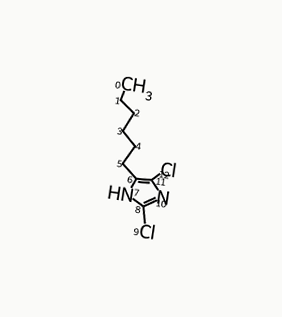 CCCCCCc1[nH]c(Cl)nc1Cl